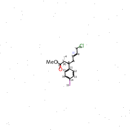 COC(=O)[C@H](C)[C@@H](C/C=C/CCl)c1ccc(I)cc1